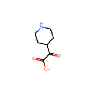 O=C(O)C(=O)C1CCNCC1